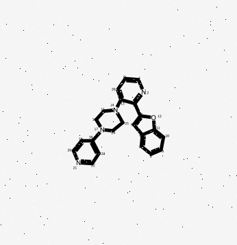 c1cnc(-c2cc3ccccc3o2)c(N2CCN(c3ccncc3)CC2)c1